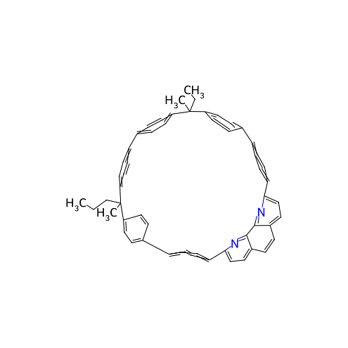 CCCC1(C)c2ccc(cc2)-c2ccc(cc2)-c2ccc3ccc4ccc(nc4c3n2)-c2ccc(cc2)-c2ccc(cc2)C(C)(CC)c2ccc(cc2)-c2ccc1cc2